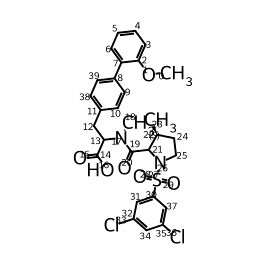 COc1ccccc1-c1ccc(CC(C(=O)O)N(C)C(=O)C2[C@@H](C)CCN2S(=O)(=O)c2cc(Cl)cc(Cl)c2)cc1